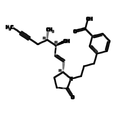 CC#CC[C@H](C)[C@@H](O)C=C[C@H]1CCC(=O)N1CCCc1cccc(C(=O)O)c1